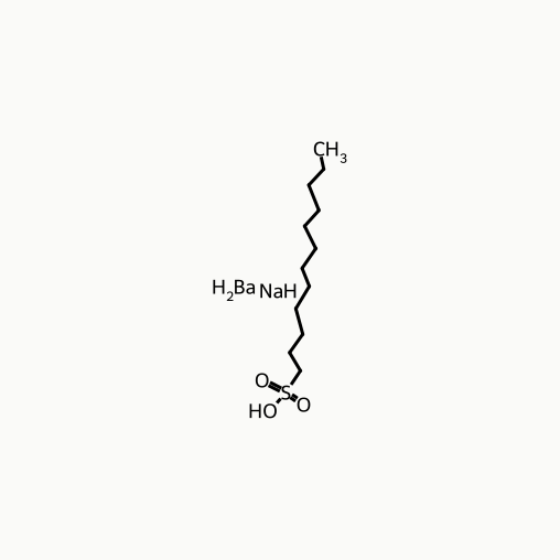 CCCCCCCCCCCCS(=O)(=O)O.[BaH2].[NaH]